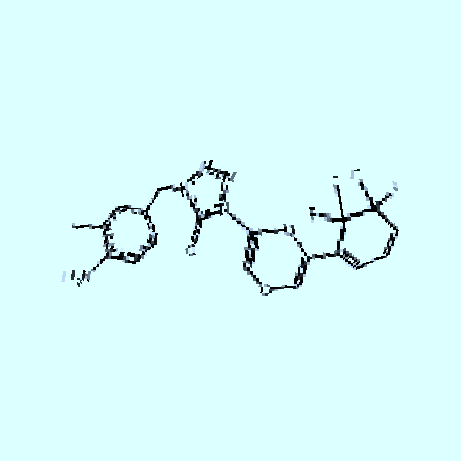 Cc1cc(Cn2nnn(C3=COC=C(C4=CC=CC(F)(F)C4(F)F)O3)c2=O)ccc1N